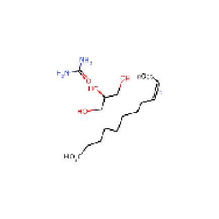 CCCCCCCC/C=C\CCCCCCCC(=O)O.NC(N)=O.OCC(O)CO